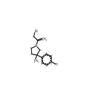 C=C(CC(C)C)N1CCC(C)(c2ccc(Cl)cc2)C1